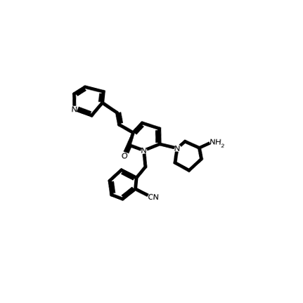 N#Cc1ccccc1Cn1c(N2CCCC(N)C2)ccc(C=Cc2cccnc2)c1=O